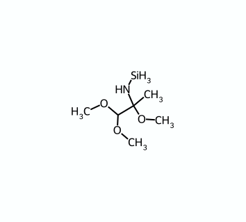 COC(OC)C(C)(N[SiH3])OC